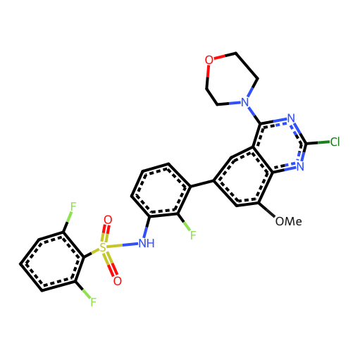 COc1cc(-c2cccc(NS(=O)(=O)c3c(F)cccc3F)c2F)cc2c(N3CCOCC3)nc(Cl)nc12